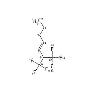 CCCC=CC(C(F)(F)F)C(F)(F)F